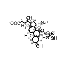 C[C@H](CCC(=O)[O-])[C@H]1CCC2C3C(CC[C@@]21C)[C@@]1(C)CC[C@H](O)CC1C[C@@]3(O)OCOP(=O)(O)O.[Na+]